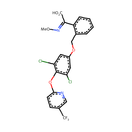 CON=C(C(=O)O)c1ccccc1COc1cc(Cl)c(Oc2ccc(C(F)(F)F)cn2)c(Cl)c1